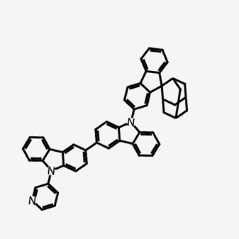 c1cncc(-n2c3ccccc3c3cc(-c4ccc5c(c4)c4ccccc4n5-c4ccc5c(c4)C4(c6ccccc6-5)C5CC6CC(C5)CC4C6)ccc32)c1